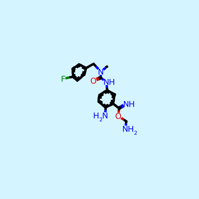 CN(Cc1ccc(F)cc1)C(=O)Nc1ccc(N)c(C(=N)OCN)c1